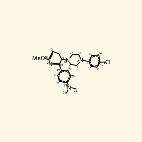 COC1=CCC(N2CCN(c3ccc(Cl)cc3)CC2)C(c2ccc(N(C)C)cc2)=N1